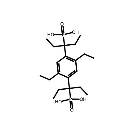 CCc1cc(C(CC)(CC)P(=O)(O)O)c(CC)cc1C(CC)(CC)P(=O)(O)O